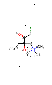 C[N+](C)(C)C[C@](O)(CC(=O)[O-])C(=O)CF